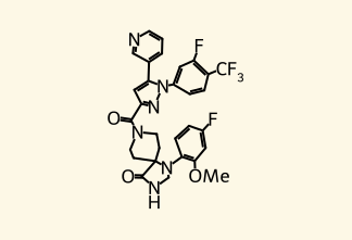 COc1cc(F)ccc1N1CNC(=O)C12CCN(C(=O)c1cc(-c3cccnc3)n(-c3ccc(C(F)(F)F)c(F)c3)n1)CC2